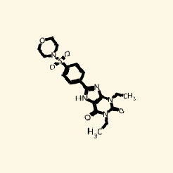 CCn1c(=O)c2[nH]c(-c3ccc(S(=O)(=O)N4CCOCC4)cc3)nc2n(CC)c1=O